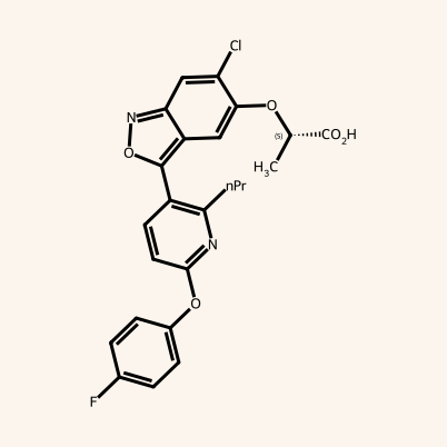 CCCc1nc(Oc2ccc(F)cc2)ccc1-c1onc2cc(Cl)c(O[C@@H](C)C(=O)O)cc12